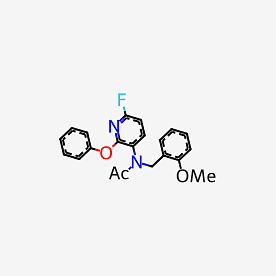 COc1ccccc1CN(C(C)=O)c1ccc(F)nc1Oc1ccccc1